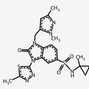 Cc1cc(Cn2c(=O)n(-c3nnc(C)s3)c3cc(S(=O)(=O)NC4(C)CC4)ccc32)n(C)n1